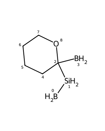 B[SiH2]C1(B)CCCCO1